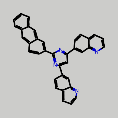 c1ccc2cc3cc(-c4nc(-c5ccc6cccnc6c5)cc(-c5ccc6cccnc6c5)n4)ccc3cc2c1